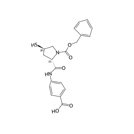 O=C(O)c1ccc(NC(=O)[C@@H]2C[C@@H](S)CN2C(=O)OCc2ccccc2)cc1